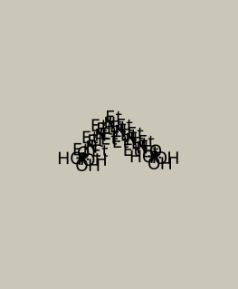 CCN(CC)CC.CCN(CC)CC.CCN(CC)CC.CCN(CC)CC.CCN(CC)CC.CCN(CC)CC.O=P(O)(O)O.O=P(O)(O)O